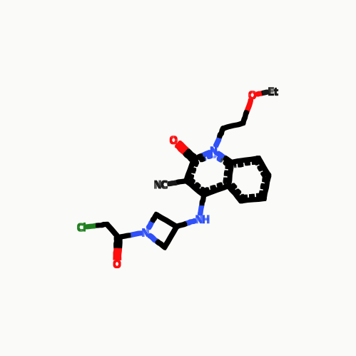 CCOCCn1c(=O)c(C#N)c(NC2CN(C(=O)CCl)C2)c2ccccc21